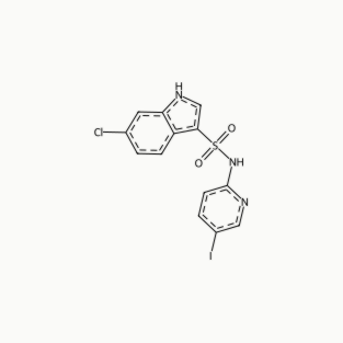 O=S(=O)(Nc1ccc(I)cn1)c1c[nH]c2cc(Cl)ccc12